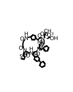 COC(=O)[C@H](CC(=O)O)NC(=O)C1NC(=O)[C@@H](Cc2ccccc2)NC(=O)[C@H](Cc2ccc(-c3ccccc3)cc2)NC(=O)[C@@H](Cc2cccs2)NC(=O)CCC(=O)Nc2ccc1cc2